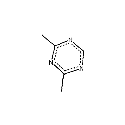 Cc1ncnc(C)n1